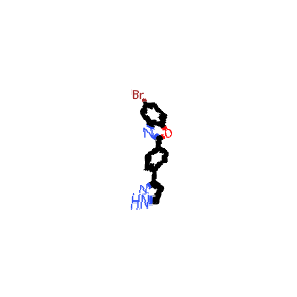 Brc1ccc2oc(-c3ccc(-c4cc[nH]n4)cc3)nc2c1